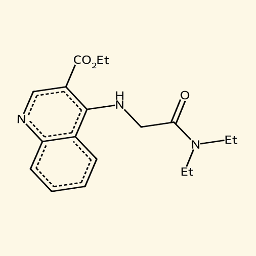 CCOC(=O)c1cnc2ccccc2c1NCC(=O)N(CC)CC